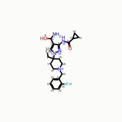 N#CCC1(n2cc(C(N)O)c(NC(=O)C3CC3)n2)CCN(Cc2ccccc2F)CC1